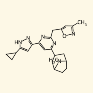 Cc1cc(Cc2nc(-c3cc(C4CC4)[nH]n3)cc(C3CC4CCC(C3)N4C)n2)on1